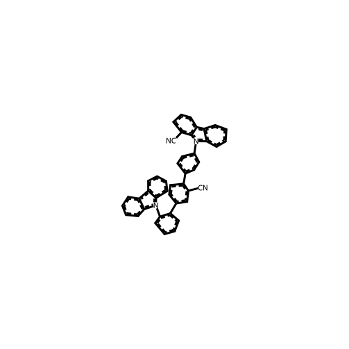 N#Cc1cc(-c2ccccc2-n2c3ccccc3c3ccccc32)ccc1-c1ccc(-n2c3ccccc3c3cccc(C#N)c32)cc1